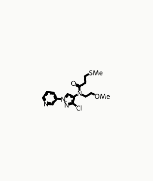 COCCN(C(=O)CCSC)c1cn(-c2cccnc2)nc1Cl